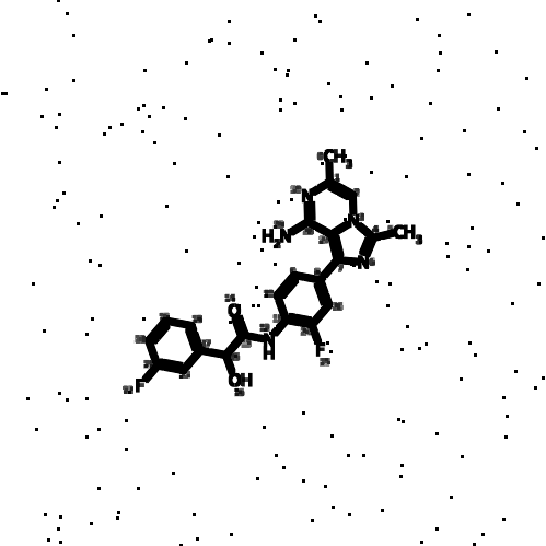 Cc1cn2c(C)nc(-c3ccc(NC(=O)C(O)c4cccc(F)c4)c(F)c3)c2c(N)n1